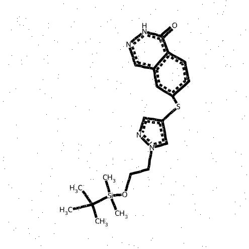 CC(C)(C)[Si](C)(C)OCCn1cc(Sc2ccc3c(=O)[nH]ncc3c2)cn1